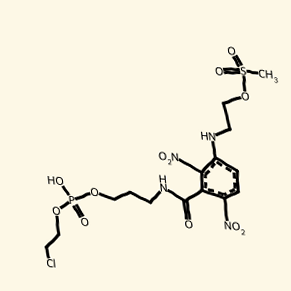 CS(=O)(=O)OCCNc1ccc([N+](=O)[O-])c(C(=O)NCCCOP(=O)(O)OCCCl)c1[N+](=O)[O-]